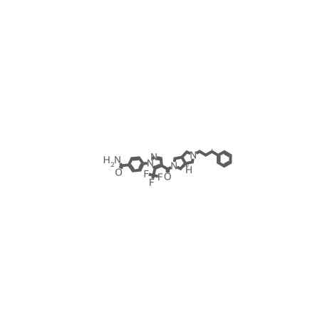 NC(=O)c1ccc(-n2ncc(C(=O)N3CC4CN(CC[CH]c5ccccc5)C[C@H]4C3)c2C(F)(F)F)cc1